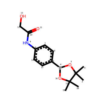 CC1(C)OB(c2ccc(NC(=O)CO)cc2)OC1(C)C